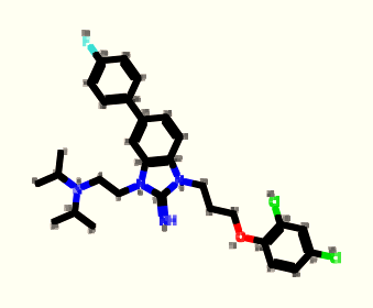 CC(C)N(CCn1c(=N)n(CCCOc2ccc(Cl)cc2Cl)c2ccc(-c3ccc(F)cc3)cc21)C(C)C